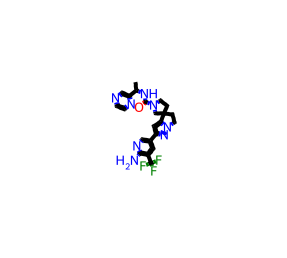 CC(NC(=O)N1CCC2(CCn3nc(-c4cnc(N)c(C(F)(F)F)c4)cc32)C1)c1cnccn1